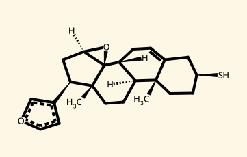 C[C@]12CC[C@H](S)CC1=CC[C@@H]1[C@@H]2CC[C@]2(C)[C@@H](c3ccoc3)C[C@H]3O[C@]132